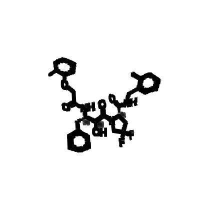 Cc1ccccc1CNC(=O)[C@@H]1CC(F)(F)CN1C(=O)[C@@H](O)[C@H](Cc1ccccc1)NC(=O)COc1ccccc1C